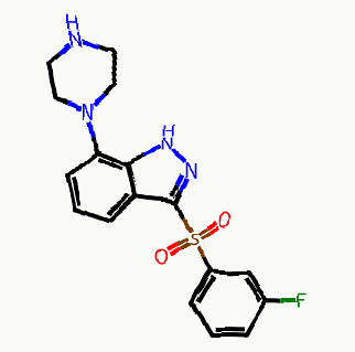 O=S(=O)(c1cccc(F)c1)c1n[nH]c2c(N3CCNCC3)cccc12